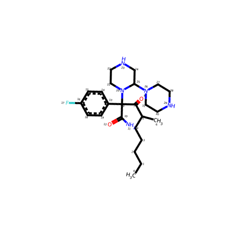 CCCCCC(C)C(=O)C(C(N)=O)(c1ccc(F)cc1)N1CCNCC1N1CCNCC1